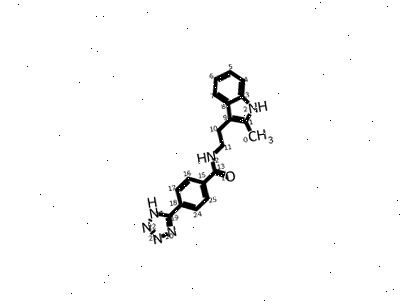 Cc1[nH]c2ccccc2c1CCNC(=O)c1ccc(-c2nnn[nH]2)cc1